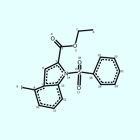 CCOC(=O)c1cc2c(I)cccc2n1S(=O)(=O)c1ccccc1